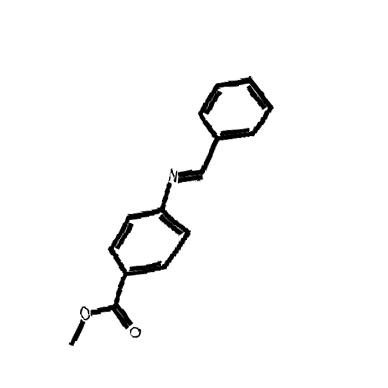 COC(=O)c1ccc(N=Cc2ccccc2)cc1